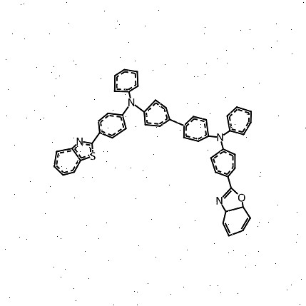 C1=CC2N=C(c3ccc(N(c4ccccc4)c4ccc(-c5ccc(N(c6ccccc6)c6ccc(-c7nc8ccccc8s7)cc6)cc5)cc4)cc3)OC2C=C1